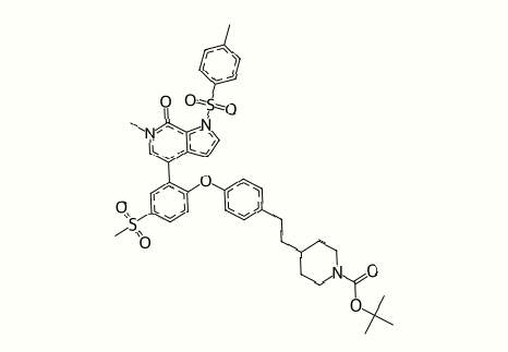 Cc1ccc(S(=O)(=O)n2ccc3c(-c4cc(S(C)(=O)=O)ccc4Oc4ccc(CCC5CCN(C(=O)OC(C)(C)C)CC5)cc4)cn(C)c(=O)c32)cc1